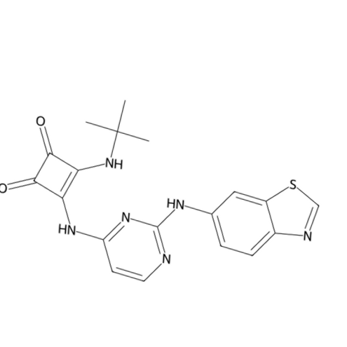 CC(C)(C)Nc1c(Nc2ccnc(Nc3ccc4ncsc4c3)n2)c(=O)c1=O